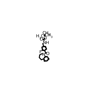 CC(C)(C)OC(=O)NCc1ccc(C(=O)N2CCCCc3ccccc32)c(F)c1